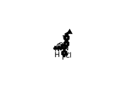 CC(C)NC(=O)Cn1c(-c2ccc(F)c(Cl)c2)nc2ccc(N3CCN(CC4CC4)[C@H](C)C3)cc2c1=O